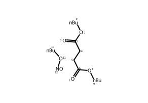 CCCCOC(=O)CCC(=O)OCCCC.CCCCON=O